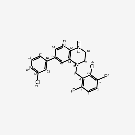 Fc1ccc(F)c(CN2CCNc3ncc(-c4ccnc(Cl)c4)cc32)c1Cl